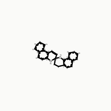 C1=CC2(CCc3ccc4ccccc4c3O2)Oc2ccc3ccccc3c21